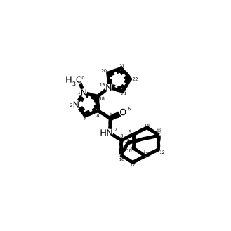 Cn1ncc(C(=O)NC2C3CC4CC(C3)CC2C4)c1-n1cccc1